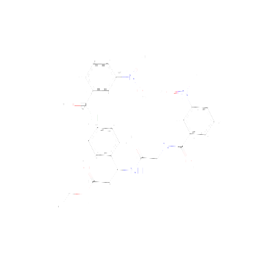 CCOC(=O)CC(NC(=O)CNC(=O)c1cccc([N+](=O)[O-])c1)c1ccccc1.O=C(Cl)c1cccc([N+](=O)[O-])c1